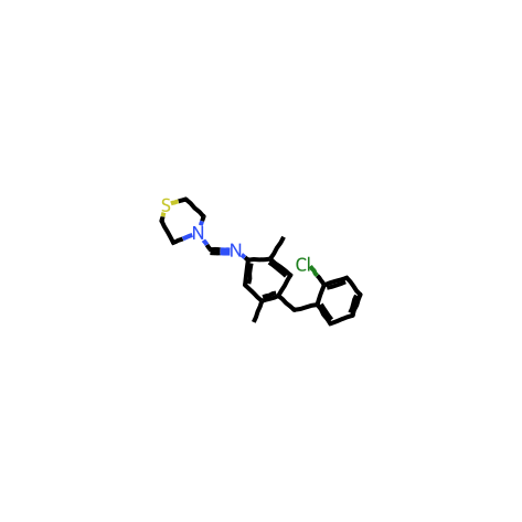 Cc1cc(N=CN2CCSCC2)c(C)cc1Cc1ccccc1Cl